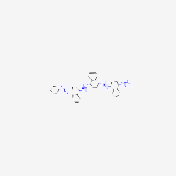 CCC(C)Nc1ccc(/N=N/c2ccc(/N=N/c3ccc(/N=N/c4ccc(F)cc4)c4ccccc34)c3ccccc23)c2ccccc12